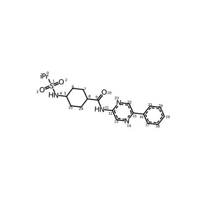 CC(C)S(=O)(=O)NC1CCC(C(=O)Nc2cnc(-c3ccccc3)cn2)CC1